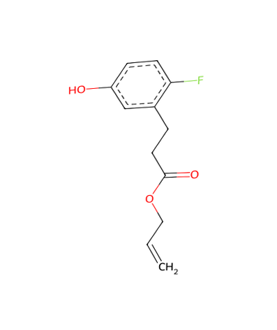 C=CCOC(=O)CCc1cc(O)ccc1F